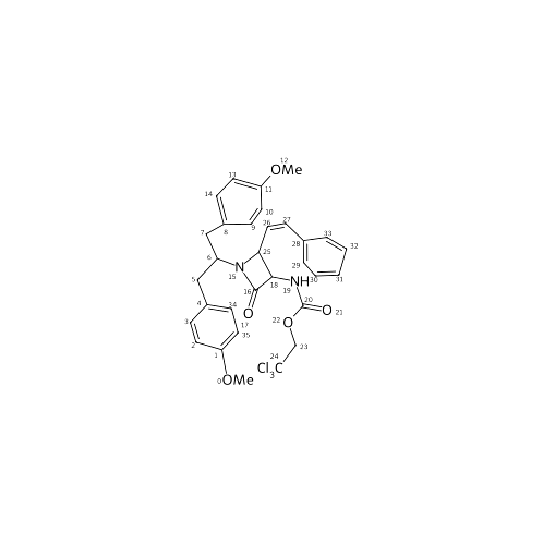 COc1ccc(CC(Cc2ccc(OC)cc2)N2C(=O)C(NC(=O)OCC(Cl)(Cl)Cl)C2C=Cc2ccccc2)cc1